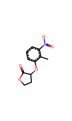 Cc1c(OC2CCOC2=O)cccc1[N+](=O)[O-]